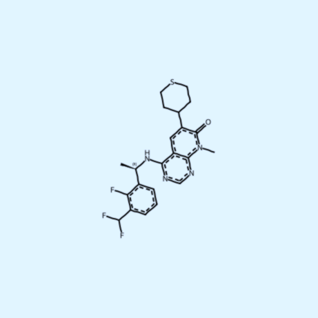 C[C@@H](Nc1ncnc2c1cc(C1CCSCC1)c(=O)n2C)c1cccc(C(F)F)c1F